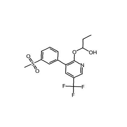 CCC(O)Oc1ncc(C(F)(F)F)cc1-c1cccc(S(C)(=O)=O)c1